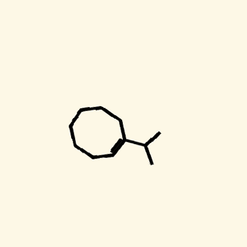 CC(C)/C1=C/CCCCCC1